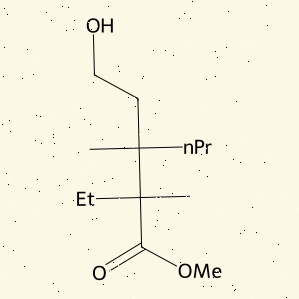 CCCC(C)(CCO)C(C)(CC)C(=O)OC